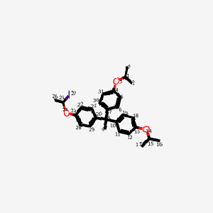 CC(C)Oc1ccc(C(C)(c2ccc(OC(C)C)cc2)c2ccc(OC(C)I)cc2)cc1